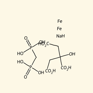 O=C(O)CC(O)(CC(=O)O)C(=O)O.O=P(O)(O)CP(=O)(O)O.[Fe].[Fe].[NaH]